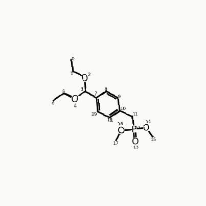 CCOC(OCC)c1ccc(CP(=O)(OC)OC)cc1